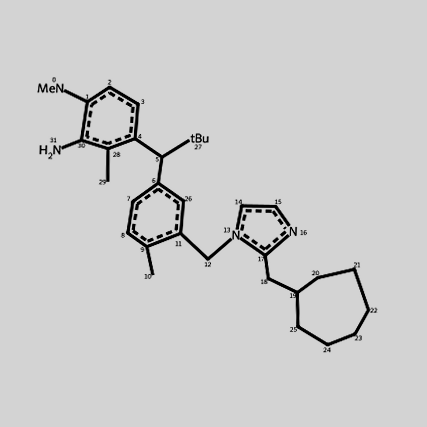 CNc1ccc(C(c2ccc(C)c(Cn3ccnc3CC3CCCCCC3)c2)C(C)(C)C)c(C)c1N